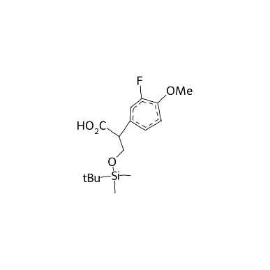 COc1ccc(C(CO[Si](C)(C)C(C)(C)C)C(=O)O)cc1F